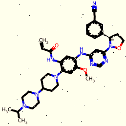 C=CC(=O)Nc1cc(Nc2cc(N3OCC[C@@H]3c3cccc(C#N)c3)ncn2)c(OC)cc1N1CCC(N2CCN(C(C)C)CC2)CC1